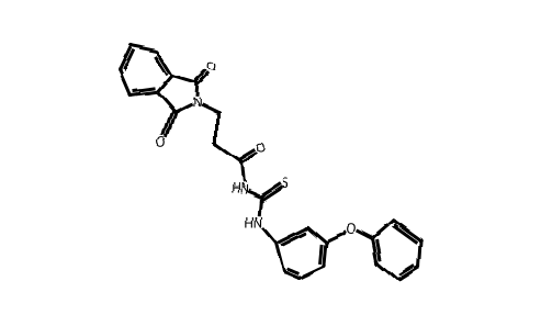 O=C(CCN1C(=O)c2ccccc2C1=O)NC(=S)Nc1cccc(Oc2ccccc2)c1